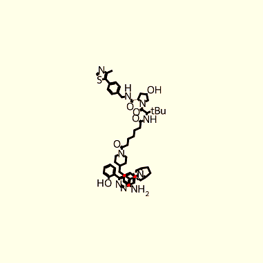 Cc1ncsc1-c1ccc(CNC(=O)[C@@H]2C[C@H](O)CN2C(=O)C(NC(=O)CCCCCC(=O)N2CCC(Cc3cccc(N4C5CCC4CN(c4cc(-c6ccccc6O)nnc4N)C5)c3)CC2)C(C)(C)C)cc1